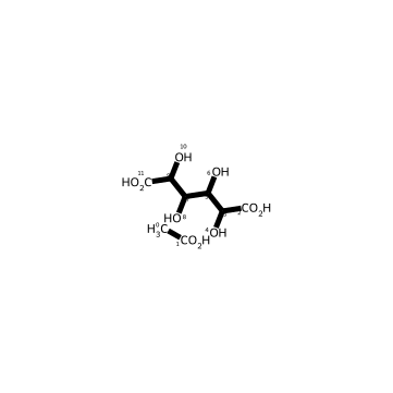 CC(=O)O.O=C(O)C(O)C(O)C(O)C(O)C(=O)O